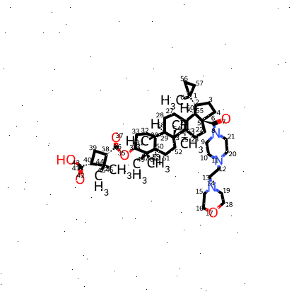 CC1([C@@H]2CC[C@]3(C(=O)N4CCN(CCN5CCOCC5)CC4)CC[C@]4(C)C(CC[C@@H]5[C@@]6(C)CC[C@H](OC(=O)[C@H]7C[C@@H](C(=O)O)C7(C)C)C(C)(C)[C@@H]6CC[C@]54C)[C@@H]23)CC1